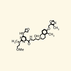 COCCN(C)c1nc(NC2COC2)cc(C(=O)NC[C@H](O)CN2CCc3c(ccc(OCc4ocnc4C)c3C)C2)n1